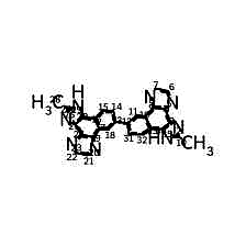 Cc1nc2c3nccnc3c3cc(-c4ccc5c(c4)c4nccnc4c4nc(C)[nH]c54)ccc3c2[nH]1